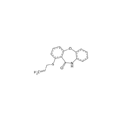 C=CCSc1cccc2c1C(=O)Nc1ccccc1O2